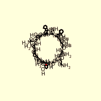 CCCC[C@H]1C(=O)N(C)[C@@H](CCCC)C(=O)N[C@@H](CN)C(=O)N[C@H](C(=O)NCC(N)=O)CSCC(=O)N[C@@H](Cc2ccc(O)cc2)C(=O)N(C)[C@@H](C)C(=O)N[C@@H](CC(=O)O)C(=O)N2CCC[C@H]2C(=O)N[C@@H](CN)C(=O)N[C@@H](CCC(N)=O)C(=O)N2C[C@H](O)C[C@H]2C(=O)N[C@@H](Cc2c[nH]c3ccccc23)C(=O)N[C@@H](CCN)C(=O)N[C@@H](Cc2csc3ccccc23)C(=O)N1C